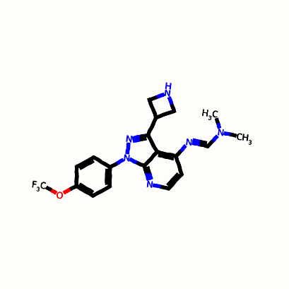 CN(C)/C=N/c1ccnc2c1c(C1CNC1)nn2-c1ccc(OC(F)(F)F)cc1